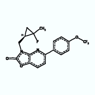 CC1(F)C[C@@H]1Cn1c(=O)oc2ccc(-c3ccc(OC(F)(F)F)cc3)nc21